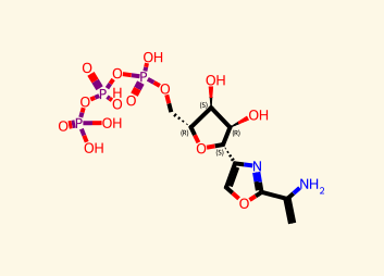 C=C(N)c1nc([C@@H]2O[C@H](COP(=O)(O)OP(=O)(O)OP(=O)(O)O)[C@@H](O)[C@H]2O)co1